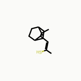 CC1=C(/C=C(/C)S)C2CCC1CC2